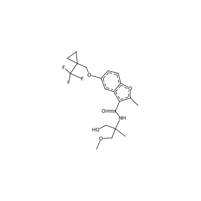 COCC(C)(CO)NC(=O)c1c(C)oc2ccc(OCC3(C(F)(F)F)CC3)cc12